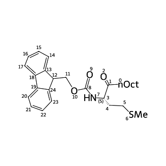 CCCCCCCCC(=O)[C@H](CCSC)NC(=O)OCC1c2ccccc2-c2ccccc21